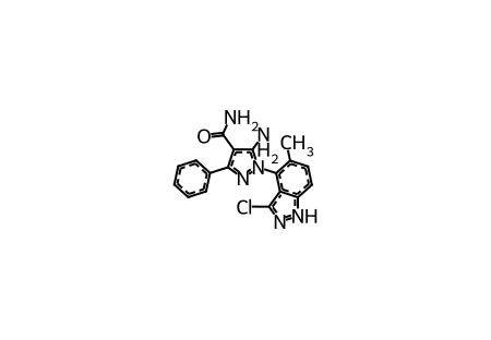 Cc1ccc2[nH]nc(Cl)c2c1-n1nc(-c2ccccc2)c(C(N)=O)c1N